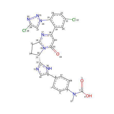 CN(C(=O)O)c1ccc(-c2cnc([C@@H]3CCc4nc(-c5cc(Cl)ccc5-n5cc(Cl)nn5)cc(=O)n43)[nH]2)cc1